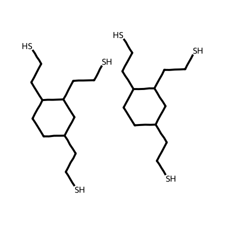 SCCC1CCC(CCS)C(CCS)C1.SCCC1CCC(CCS)C(CCS)C1